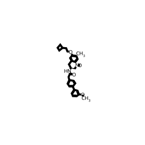 COc1cccc(-c2ccc(CC(=O)N[C@H](CN=O)Cc3ccc(C)c(OCCC4CCC4)c3)cc2)c1